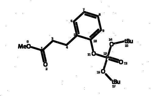 COC(=O)CCc1ccccc1OP(=O)(OC(C)(C)C)OC(C)(C)C